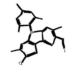 Cc1cc(C)c(B2c3cc(C)c(Cl)cc3-c3cc(CI)c(C)cc32)c(C)c1